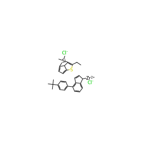 CC(C)(C)c1ccc(-c2cccc3c2C=C[CH]3[Zr+2])cc1.CCC1=C2C3C(=CC=C3[Si]2(C)C)S1.[Cl-].[Cl-]